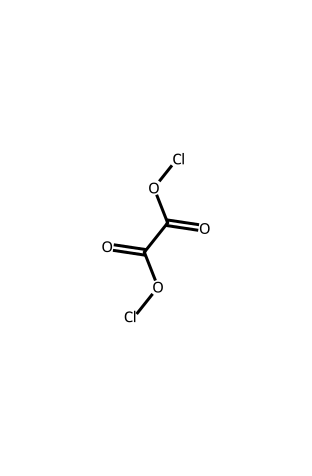 O=C(OCl)C(=O)OCl